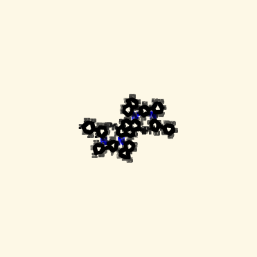 CC(C)c1cc(N(c2ccc3c4ccccc4n(-c4cccc(-c5ccccc5)c4)c3c2)C2CCCc3ccccc32)c2ccc3c(C(C)C)cc(N(c4ccc5c6ccccc6n(-c6cccc(-c7ccccc7)c6)c5c4)C4CCCc5ccccc54)c4ccc1c2c34